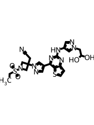 CCS(=O)(=O)N1CC(CC#N)(n2cc(-c3nc(Nc4cnn(CC(O)O)c4)nc4ccsc34)cn2)C1